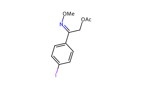 CON=C(COC(C)=O)c1ccc(I)cc1